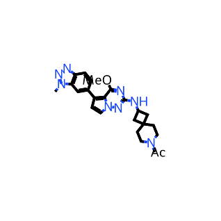 COc1nc(NC2CC3(CCN(C(C)=O)CC3)C2)nn2ccc(-c3ccc4nnn(C)c4c3)c12